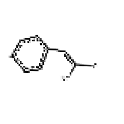 CC(=O)C(C#N)=Cc1cc[c]cc1